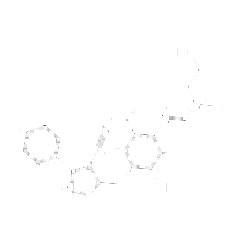 CCCN(C)C=Nc1cc(C)c(Oc2snc(-c3ccccc3)c2C#N)cc1Cl